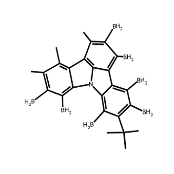 Bc1c(C(C)(C)C)c(B)c2c(c1B)c1c(B)c(B)c(C)c3c4c(C)c(C)c(B)c(B)c4n2c13